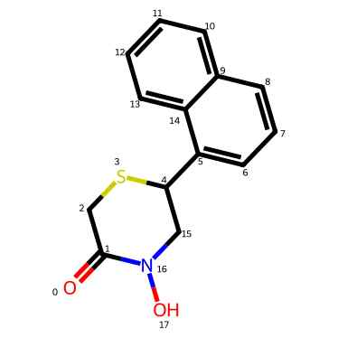 O=C1CSC(c2cccc3ccccc23)CN1O